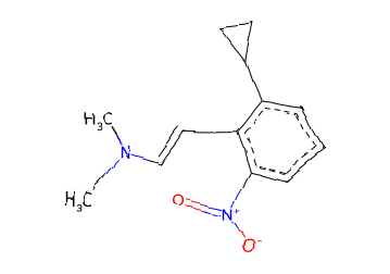 CN(C)/C=C/c1c(C2CC2)cccc1[N+](=O)[O-]